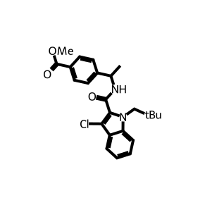 COC(=O)c1ccc(C(C)NC(=O)c2c(Cl)c3ccccc3n2CC(C)(C)C)cc1